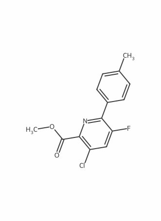 COC(=O)c1nc(-c2ccc(C)cc2)c(F)cc1Cl